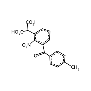 Cc1ccc(C(=O)c2cccc(C(C(=O)O)C(=O)O)c2[N+](=O)[O-])cc1